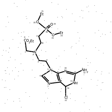 CCOC(=O)CN(CCn1cnc2c1N=C(N)NC2Cl)CCP(=O)(OCC)OCC